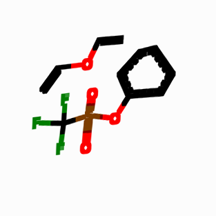 C=COC=C.O=S(=O)(Oc1ccccc1)C(F)(F)F